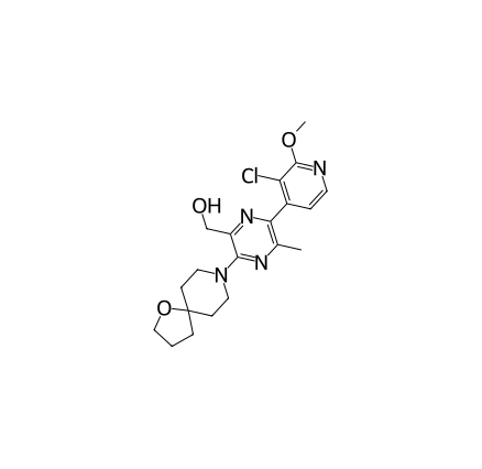 COc1nccc(-c2nc(CO)c(N3CCC4(CCCO4)CC3)nc2C)c1Cl